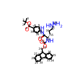 CC(C)(C)OC(=O)c1ccc(NC(=O)[C@H](CCCNN)NC(=O)OCC2c3ccccc3-c3ccccc32)cc1